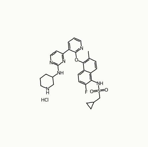 Cc1ccc2c(NS(=O)(=O)CC3CC3)c(F)ccc2c1Oc1ncccc1-c1ccnc(NC2CCCNC2)n1.Cl